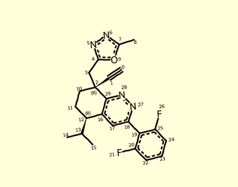 C#C[C@]1(Cc2nnc(C)o2)CC[C@H](C(C)C)c2cc(-c3c(F)cccc3F)nnc21